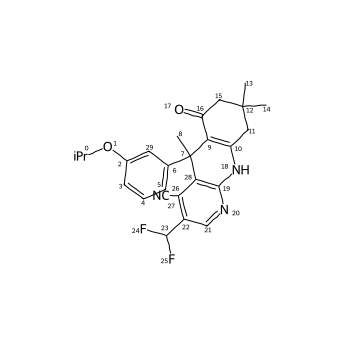 CC(C)Oc1cccc(C2(C)C3=C(CC(C)(C)CC3=O)Nc3ncc(C(F)F)c(C#N)c32)c1